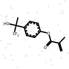 C=C(C)C(=O)Oc1ccc(C(C)(O)C(F)(F)F)cc1